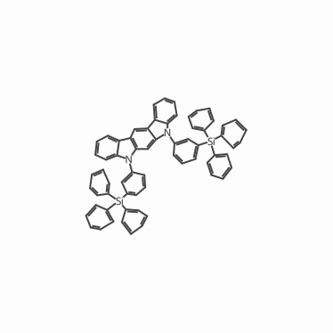 c1ccc([Si](c2ccccc2)(c2ccccc2)c2cccc(-n3c4ccccc4c4cc5c6ccccc6n(-c6cccc([Si](c7ccccc7)(c7ccccc7)c7ccccc7)c6)c5cc43)c2)cc1